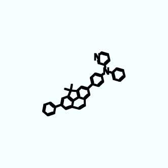 CC1(C)c2cc(-c3ccccc3)cc3ccc4cc(-c5ccc(N(c6ccccc6)c6cccnc6)cc5)cc1c4c23